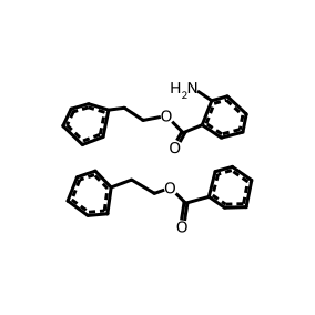 Nc1ccccc1C(=O)OCCc1ccccc1.O=C(OCCc1ccccc1)c1ccccc1